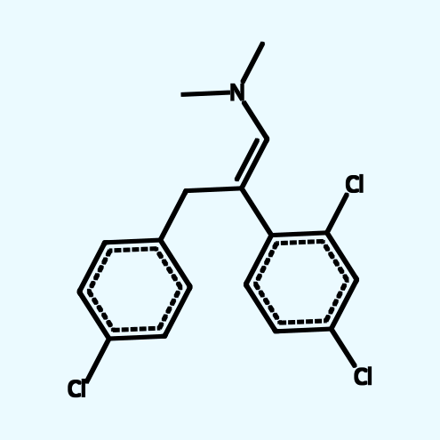 CN(C)/C=C(\Cc1ccc(Cl)cc1)c1ccc(Cl)cc1Cl